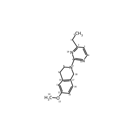 CCc1ccnc(N2CCc3cc(OC)ccc3C2)n1